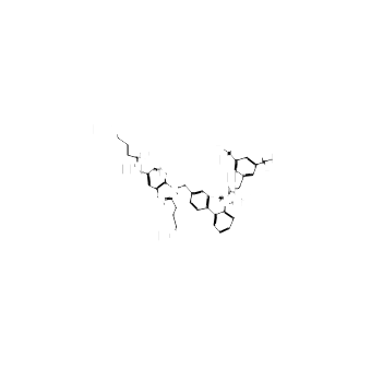 CCCCC(=O)Nc1cnc2c(c1)nc(CCCC)n2Cc1ccc(-c2ccccc2S(=O)(=O)NC(=O)c2cc(C(F)(F)F)cc(C(F)(F)F)c2)cc1